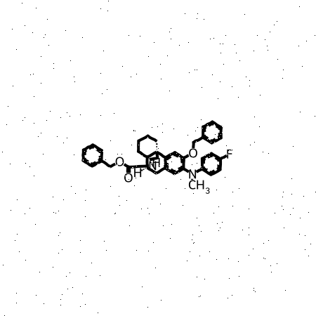 CN(c1ccc(F)cc1)c1cc2c(cc1OCc1ccccc1)[C@]13CCCC[C@@H]1[C@H](C2)N(C(=O)OCc1ccccc1)CC3